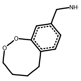 [NH]Cc1ccc2c(c1)OOCCCC2